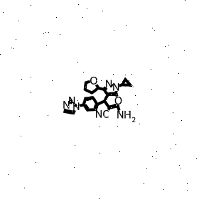 N#CC1=C(N)Oc2c(c(C3CCCO3)nn2C2CC2)C1c1ccc(-n2ccnn2)cc1